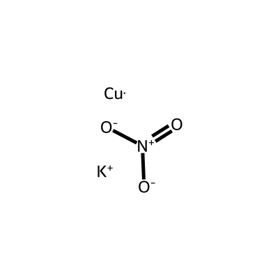 O=[N+]([O-])[O-].[Cu].[K+]